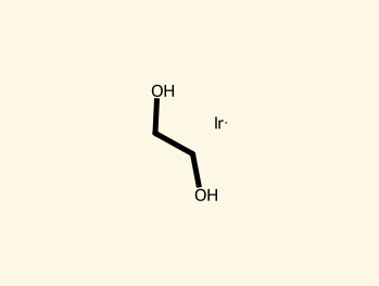 OCCO.[Ir]